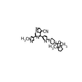 CN1CCC[C@]1(C)C(=O)N1CCN(c2ccc(-c3nc(-c4cnn(C)c4)cn4ncc(C#N)c34)cn2)CC1